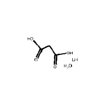 O.O=C(O)CC(=O)O.[LiH]